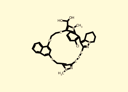 Cn1nc2cc1CSc1cc(c3ccccc3c1)OCCCc1c(C(O)O)n(C)c3c(c(Cl)ccc13)-c1c(nn3c1CCCC3)CSC2